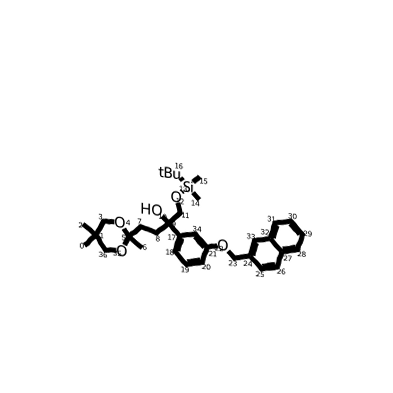 CC1(C)COC(C)(CCC(O)(CO[Si](C)(C)C(C)(C)C)c2cccc(OCc3ccc4ccccc4c3)c2)OC1